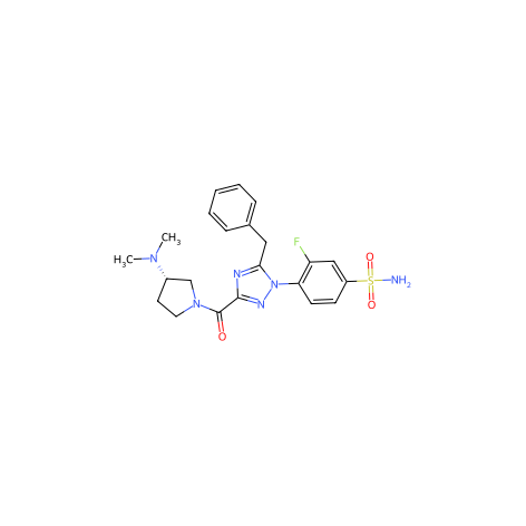 CN(C)[C@H]1CCN(C(=O)c2nc(Cc3ccccc3)n(-c3ccc(S(N)(=O)=O)cc3F)n2)C1